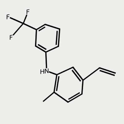 C=Cc1ccc(C)c(Nc2cccc(C(F)(F)F)c2)c1